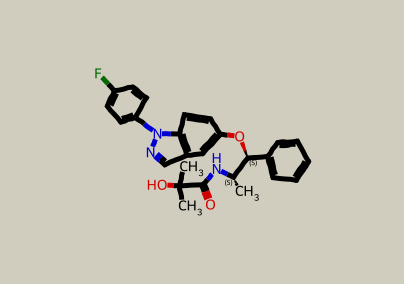 C[C@H](NC(=O)C(C)(C)O)[C@@H](Oc1ccc2c(cnn2-c2ccc(F)cc2)c1)c1ccccc1